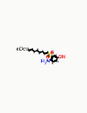 CCCCCCCCCCCCCCCCCCS(=O)(=O)c1cc(O)ccc1N